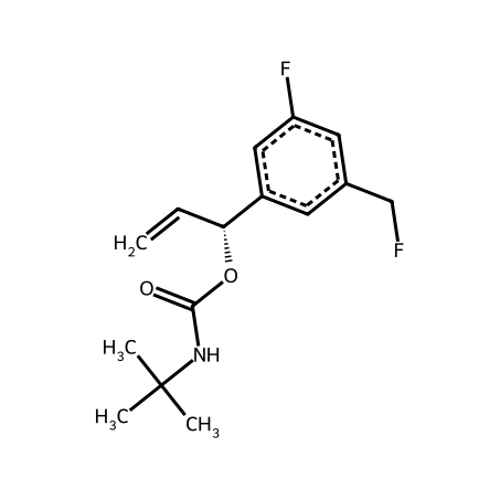 C=C[C@@H](OC(=O)NC(C)(C)C)c1cc(F)cc(CF)c1